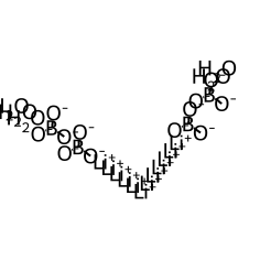 O.O.O.O.O.[Li+].[Li+].[Li+].[Li+].[Li+].[Li+].[Li+].[Li+].[Li+].[Li+].[Li+].[Li+].[O-]B([O-])[O-].[O-]B([O-])[O-].[O-]B([O-])[O-].[O-]B([O-])[O-]